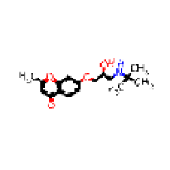 Cc1cc(=O)c2ccc(OCC(O)CNC(C)(C)C)cc2o1